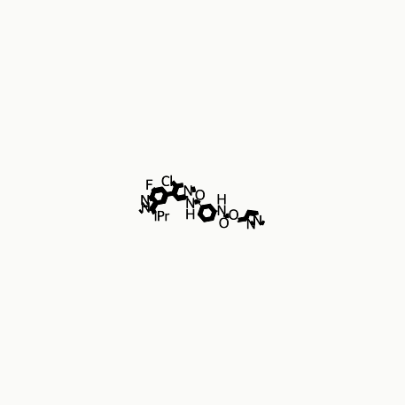 C=N/C(=C\C(=C(/C)Cl)c1cc(F)c2nn(C)c(C(C)C)c2c1)NC(=O)[C@H]1CCC[C@@H](NC(=O)OCc2ccn(C)n2)C1